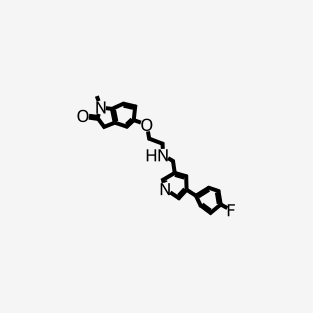 CN1C(=O)Cc2cc(OCCNCc3cncc(-c4ccc(F)cc4)c3)ccc21